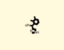 CCCC(c1c[nH]cn1)c1cccc(C)c1C